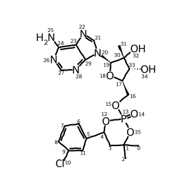 CC1(C)CC(c2cccc(Cl)c2)OP(=O)(OC[C@H]2O[C@@H](n3cnc4c(N)ncnc43)[C@](C)(O)[C@@H]2O)O1